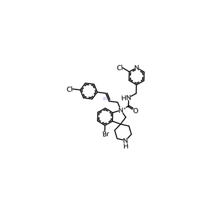 O=C(NCc1ccnc(Cl)c1)[N+]1(C/C=C/c2ccc(Cl)cc2)CC2(CCNCC2)c2c(Br)cccc21